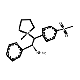 CC(=O)N[C@@H](c1ccccc1)C(c1ccc(S(C)(=O)=O)cc1)[N+]1(C)CCCC1